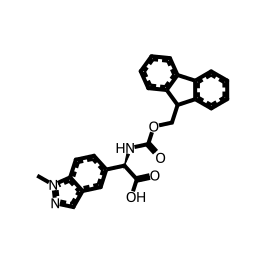 Cn1ncc2cc([C@@H](NC(=O)OCC3c4ccccc4-c4ccccc43)C(=O)O)ccc21